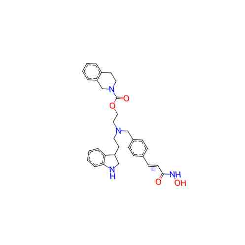 O=C(/C=C/c1ccc(CN(CCOC(=O)N2CCc3ccccc3C2)CCC2CNc3ccccc32)cc1)NO